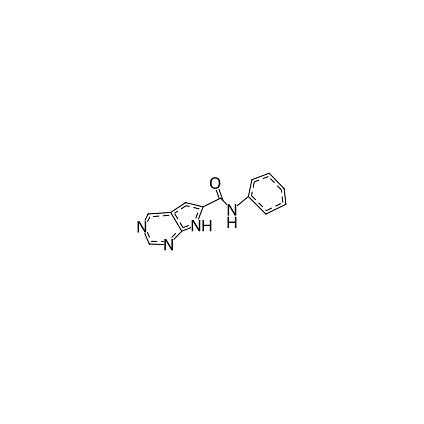 O=C(Nc1ccccc1)c1cc2cncnc2[nH]1